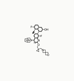 C#Cc1c(F)ccc2cc(O)cc(-c3c(F)cc4c(N5CC6CCC(C5)N6)nc(OCC5(CN6CC7(COC7)C6)CC5)nc4c3F)c12